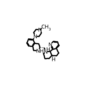 CN1CCN(c2cccc3c2C[C@H](CN2CCC[C@@H]4CCc5cccnc5[C@H]42)NC3)CC1